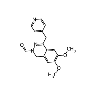 COc1cc2c(cc1OC)C(Cc1ccncc1)=NN(C=O)C2